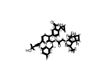 CC(C)(O)C#CC1=CCC(c2ccc3c(c2)C(=O)NC32CC2)C([C@H](Cc2cc(F)cc(F)c2)NC(=O)Cn2nc(C(F)(F)F)c3c2C(F)(F)[C@@H]2CC[C@H]32)=N1